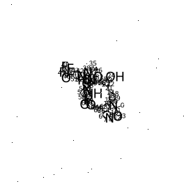 CCn1c(-c2cccnc2[C@H](C)OC)c2c3cc(ccc31)-c1cc(O)cc(c1)C[C@H](NC(=O)C(C(C)C)N(C)C(=O)N1CCC(C(=O)C(F)(F)F)CC1)C(=O)N1CCC[C@H](N1)C(=O)OCC(C)(C)C2